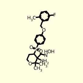 Cc1ccc(F)cc1COc1ccc(S(=O)(=O)C2CCOC(C)(C)C2(N)C(=O)NO)cc1